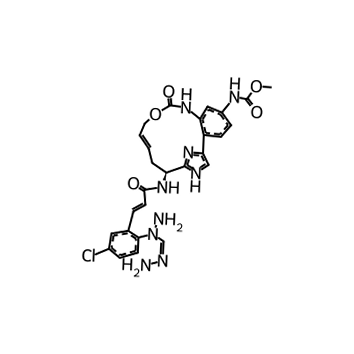 COC(=O)Nc1ccc2c(c1)NC(=O)OC/C=C/C[C@H](NC(=O)/C=C/c1cc(Cl)ccc1N(N)/C=N\N)c1nc-2c[nH]1